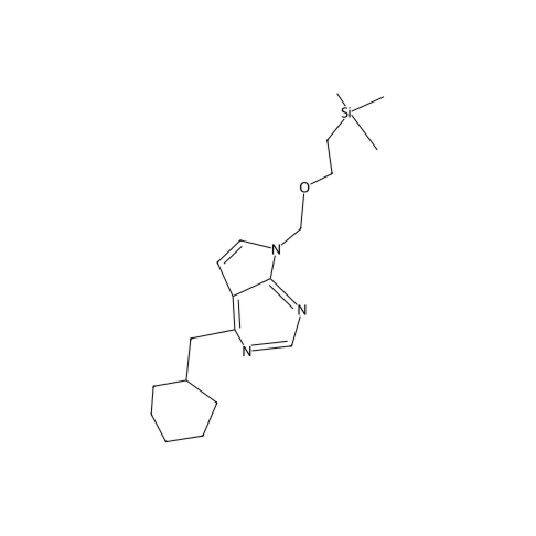 C[Si](C)(C)CCOCn1ccc2c(CC3CCCCC3)ncnc21